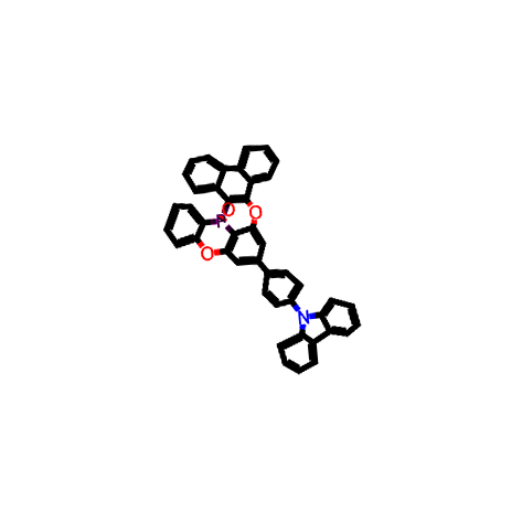 O=P12c3ccccc3Oc3cc(-c4ccc(-n5c6ccccc6c6ccccc65)cc4)cc(c31)Oc1c2c2ccccc2c2ccccc12